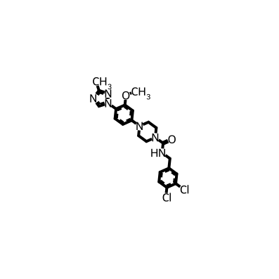 COc1cc(N2CCN(C(=O)NCc3ccc(Cl)c(Cl)c3)CC2)ccc1-n1cnc(C)n1